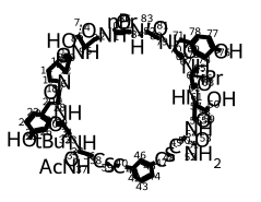 CCC[C@@H]1NC(=O)[C@H]([C@@H](C)O)NC(=O)[C@@H]2CCCN2C(=O)[C@H](Cc2ccc(O)cc2)NC(=O)[C@H](C(C)(C)C)NC(=O)[C@@H](NC(C)=O)CSCc2cccc(c2)CSC[C@@H](C(N)=O)NC(=O)[C@H]([C@@H](C)O)NC(=O)[C@](C)(C(C)C)NC(=O)[C@H](Cc2ccc(O)cc2)NC(=O)[C@H](C)NC1=O